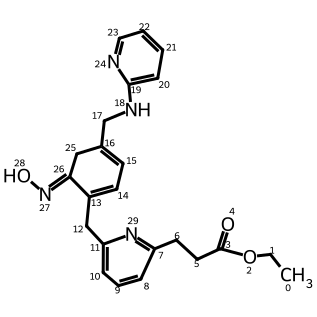 CCOC(=O)CCc1cccc(CC2=CC=C(CNc3ccccn3)CC2=NO)n1